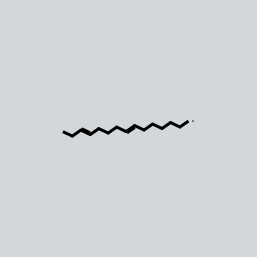 [CH2]CCCCCC=CCCCC=CCC